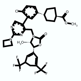 COC(=O)[C@H]1CC[C@H](c2ccc(Cl)c(-c3cnc(N4CCC4)nc3CN3C(=O)O[C@H](C4=CC(C(F)(F)F)CC(C(F)(F)F)=C4)[C@@H]3C)c2)CC1